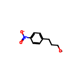 [O]CCCc1ccc([N+](=O)[O-])cc1